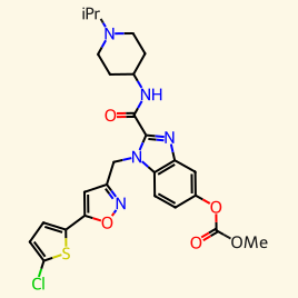 COC(=O)Oc1ccc2c(c1)nc(C(=O)NC1CCN(C(C)C)CC1)n2Cc1cc(-c2ccc(Cl)s2)on1